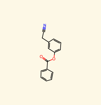 N#CCc1cccc(OC(=O)c2ccccc2)c1